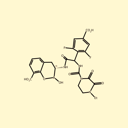 CCN1CCN(C(=O)NC(C(=O)N[C@H]2Cc3cccc(C(=O)O)c3OB2O)c2c(F)cc(C(=O)O)cc2F)C(=O)C1=O